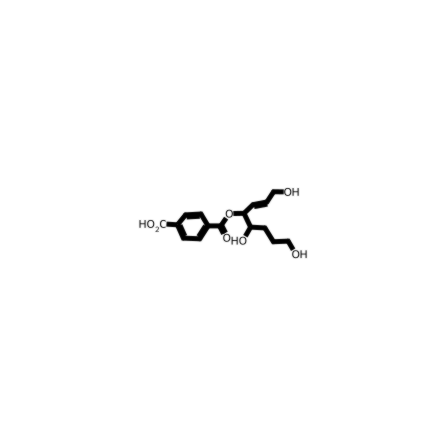 O=C(O)c1ccc(C(=O)OC(C=CCO)C(O)CCCO)cc1